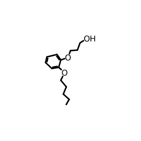 CCCCCOc1ccccc1OCCCO